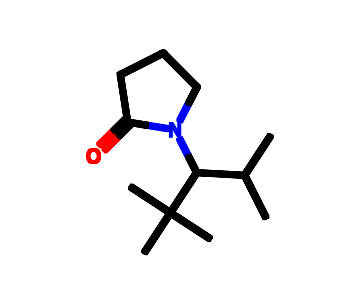 CC(C)C(N1CCCC1=O)C(C)(C)C